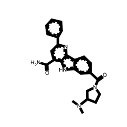 CN(C)C1CCN(C(=O)c2ccc3c(c2)[nH]c2c(C(N)=O)cc(-c4ccccc4)nc23)C1